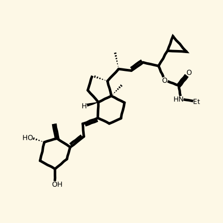 C=C1C(=CC=C2CCC[C@]3(C)[C@@H]([C@H](C)/C=C/C(OC(=O)NCC)C4CC4)CC[C@@H]23)CC(O)C[C@@H]1O